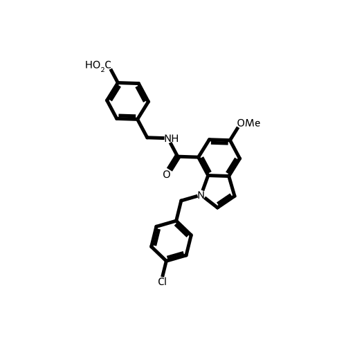 COc1cc(C(=O)NCc2ccc(C(=O)O)cc2)c2c(ccn2Cc2ccc(Cl)cc2)c1